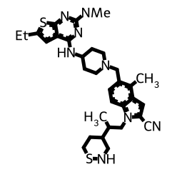 CCc1cc2c(NC3CCN(Cc4ccc5c(cc(C#N)n5CC(C)C5CCSNC5)c4C)CC3)nc(NC)nc2s1